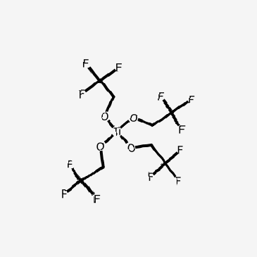 FC(F)(F)C[O][Ti]([O]CC(F)(F)F)([O]CC(F)(F)F)[O]CC(F)(F)F